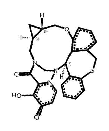 O=C1c2c(O)c(=O)ccn2N2CN1C[C@H]1C[C@@H]1COc1cccc3c1[C@H]2c1ccccc1SC3